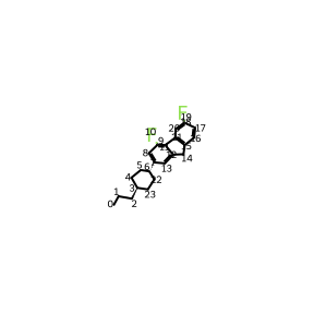 CCC[C@H]1CC[C@H](c2cc(F)c3c(c2)Cc2ccc(F)cc2-3)CC1